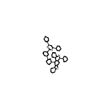 c1ccc(-c2cc(-c3ccccc3)nc(-c3cccc(-c4cccc(-c5c6c(cc7c(-c8ccccc8)nc8ccccc8c57)oc5ccccc56)c4)c3)n2)cc1